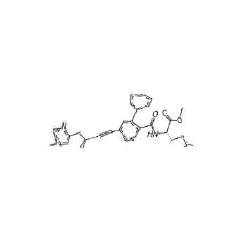 COC(=O)[C@H](CCSC)NC(=O)c1ccc(C#CC(=O)Cc2cn(C)cn2)cc1-c1ccccc1